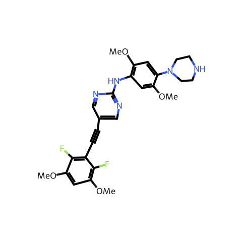 COc1cc(N2CCNCC2)c(OC)cc1Nc1ncc(C#Cc2c(F)c(OC)cc(OC)c2F)cn1